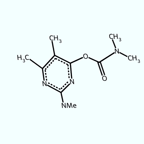 CNc1nc(C)c(C)c(OC(=O)N(C)C)n1